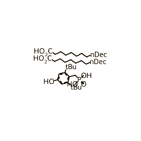 CC(C)(C)c1cc(O)cc(C(C)(C)C)c1CP(=O)(O)O.CCCCCCCCCCCCCCCCCC(=O)O.CCCCCCCCCCCCCCCCCC(=O)O